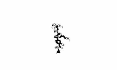 CC=Cc1cn2c(-c3ccc(C(=O)NC4CC4)c(Cl)c3)cnc2c(NCC(C)(C)O)n1